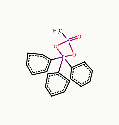 CP1(=O)OP(c2ccccc2)(c2ccccc2)(c2ccccc2)O1